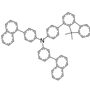 CC1(C)c2ccccc2-c2cccc(-c3ccc(N(c4ccc(-c5cccc6ccccc56)cc4)c4cccc(-c5cccc6ccccc56)c4)cc3)c21